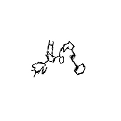 Cc1nc(-c2c[nH]c(C(=O)N3CCCC3CCc3ccccc3)c2)cs1